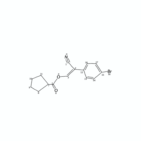 N#C/C(=C\OC(=O)C1CCCC1)c1ccc(Br)cc1